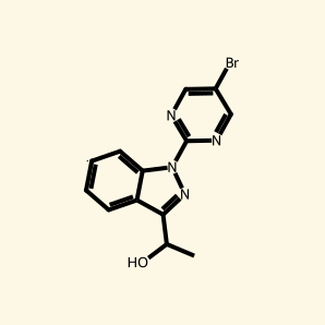 CC(O)c1nn(-c2ncc(Br)cn2)c2c[c]ccc12